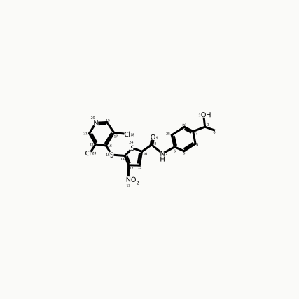 CC(O)c1ccc(NC(=O)c2cc([N+](=O)[O-])c(Sc3c(Cl)cncc3Cl)s2)cc1